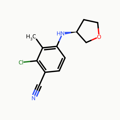 Cc1c(N[C@H]2CCOC2)ccc(C#N)c1Cl